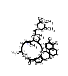 CCC1CCN2CC3(CCCc4c3ccc(Cl)c4F)COc3ccc(cc32)C(=O)NSC(C)CC/C=C(\C)C1OCCN1CC(C)N(C)C(C)C1